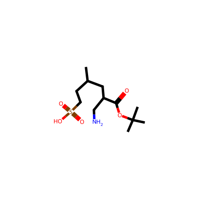 CC(CCS(=O)(=O)O)CC(CN)C(=O)OC(C)(C)C